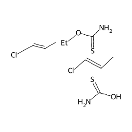 CC=CCl.CC=CCl.CCOC(N)=S.NC(O)=S